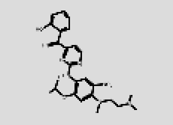 CN(C)CCN(C)c1cc(OC(F)F)c(Nc2nccc(C(=N)c3ccccc3O)n2)cc1[N+](=O)[O-]